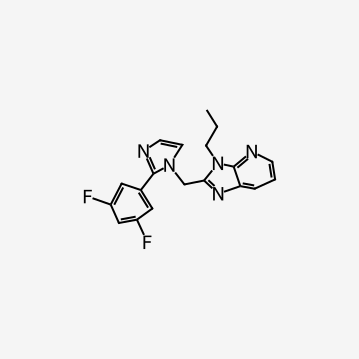 CCCn1c(Cn2ccnc2-c2cc(F)cc(F)c2)nc2cccnc21